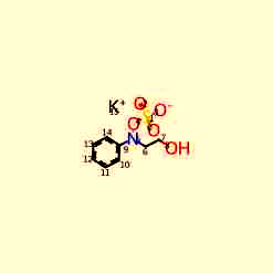 O=S(=O)([O-])ON(CCO)c1ccccc1.[K+]